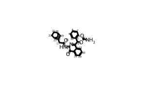 NC(=O)OC(c1ccccc1)c1nn(NC(=O)CC2CC3CCC2C3)c(=O)c2ccccc12